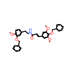 COc1ccc(CCNC(=O)C=Cc2cc(OC)c(OCc3ccccc3)c(OC)c2)cc1OCc1ccccc1